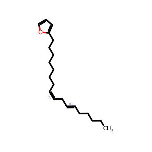 CCCCC/C=C/C/C=C\CCCCCCCc1ccco1